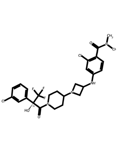 CN(C)C(=O)c1ccc(NC2CN(C3CCN(C(=O)[C@@](O)(c4cccc(Cl)c4)C(F)(F)F)CC3)C2)cc1Cl